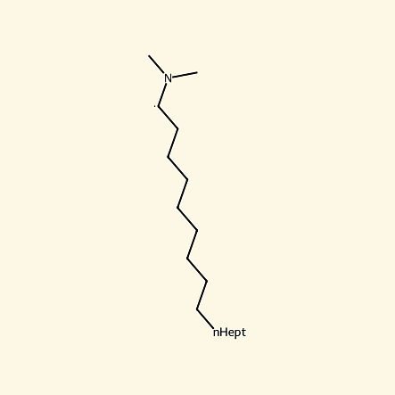 CCCCCCCCCCCCCCC[CH]N(C)C